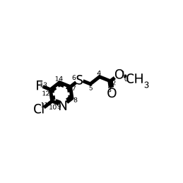 COC(=O)CCSc1cnc(Cl)c(F)c1